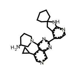 NC1CCCN(c2nc(-c3ccnc4c3CC3(CCCCC3)N4)nc3cncc(C4CC4)c23)C1